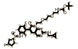 CC(C)(C)OC(=O)NCCOCCOCCn1c(=O)c(-c2c(F)ccc(N[S+]([O-])N3CC[C@@H](F)C3)c2F)cc2cnc(NCC3CC3)nc21